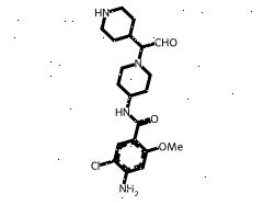 COc1cc(N)c(Cl)cc1C(=O)NC1CCN(C(C=O)C2CCNCC2)CC1